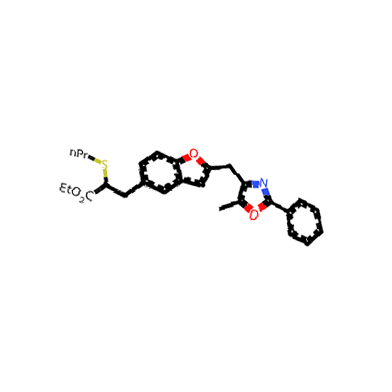 CCCSC(Cc1ccc2oc(Cc3nc(-c4ccccc4)oc3C)cc2c1)C(=O)OCC